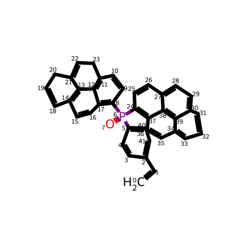 C=Cc1ccc(P(=O)(c2ccc3c4c5c(ccc24)C=CCC5=CC3)c2ccc3ccc4cccc5ccc2c3c45)cc1